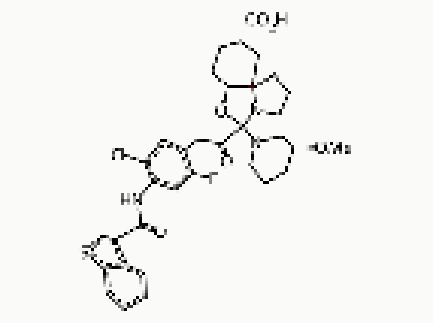 CO[C@@H]1CCCN(C(O[C@H]2CC[C@H](C(=O)O)CC2)(C(=O)Cc2cc(Cl)c(NC(=O)c3csc4ccccc34)cc2F)N2CCCC2)C1